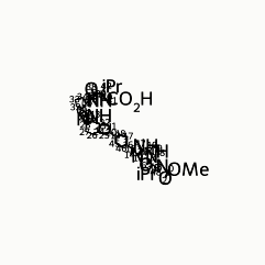 COC(=O)N[C@H](C(=O)N1CCC[C@H]1c1ncc(-c2ccc(-c3ccc4c(c3)CCc3nc([C@H]5CCC[C@@H]5NC(=O)[C@@H](NC(=O)O)C(C)C)[nH]c3-4)cc2)[nH]1)C(C)C